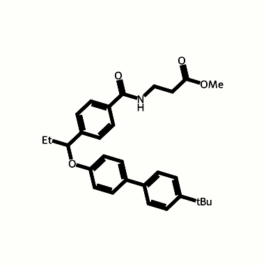 CCC(Oc1ccc(-c2ccc(C(C)(C)C)cc2)cc1)c1ccc(C(=O)NCCC(=O)OC)cc1